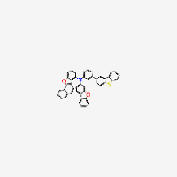 c1cc(-c2ccc3sc4ccccc4c3c2)cc(N(c2ccc3c(c2)oc2ccccc23)c2cccc3oc4c5ccccc5ccc4c23)c1